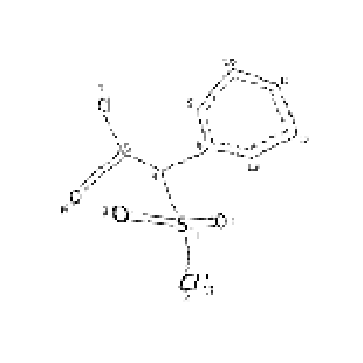 CS(=O)(=O)C(C(=O)Cl)c1ccccc1